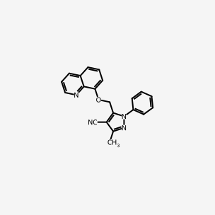 Cc1nn(-c2ccccc2)c(COc2cccc3cccnc23)c1C#N